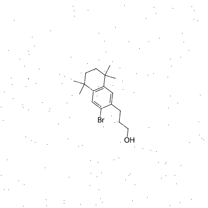 CC1(C)CCC(C)(C)c2cc(CCCO)c(Br)cc21